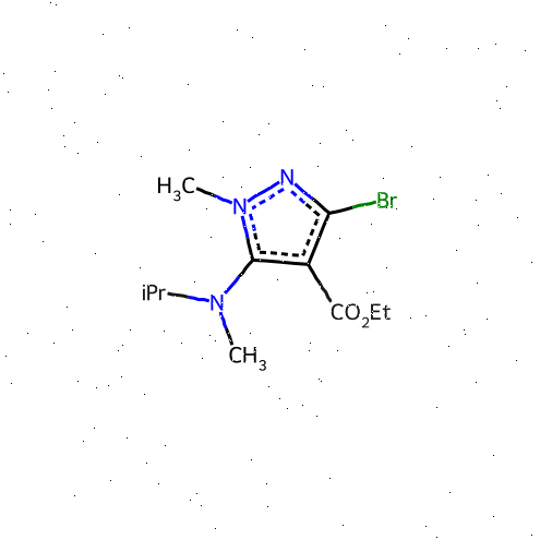 CCOC(=O)c1c(Br)nn(C)c1N(C)C(C)C